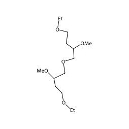 CCOCCC(COCC(CCOCC)OC)OC